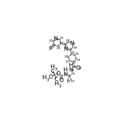 CC(C)(C)OC(=O)NC1(CNC(=O)c2ccc(-c3cncc(-c4cncc(F)c4)n3)cc2)CC1